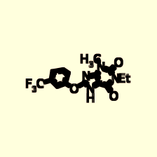 CCn1c(=O)c2[nH]c(Oc3cccc(C(F)(F)F)c3)nc2n(C)c1=O